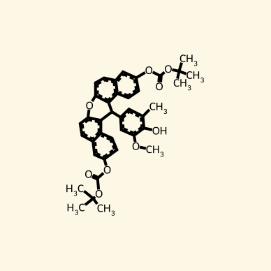 COc1cc(C2c3c(ccc4cc(OC(=O)OC(C)(C)C)ccc34)Oc3ccc4cc(OC(=O)OC(C)(C)C)ccc4c32)cc(C)c1O